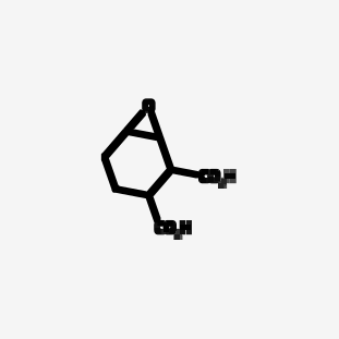 O=C(O)C1CCC2OC2C1C(=O)O